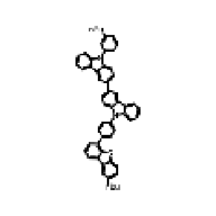 CCCCc1cccc(-n2c3ccccc3c3cc(-c4ccc5c(c4)c4ccccc4n5-c4ccc(-c5cccc6c5sc5ccc(CCCC)cc56)cc4)ccc32)c1